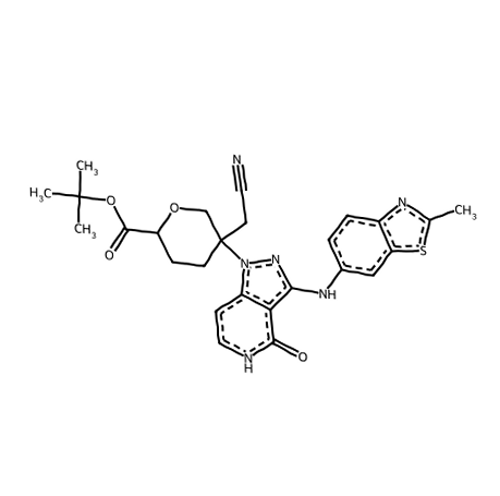 Cc1nc2ccc(Nc3nn(C4(CC#N)CCC(C(=O)OC(C)(C)C)OC4)c4cc[nH]c(=O)c34)cc2s1